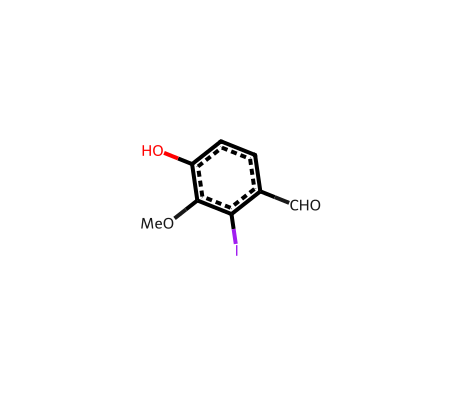 COc1c(O)ccc(C=O)c1I